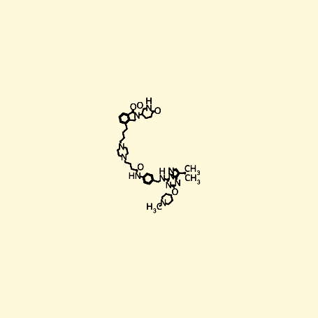 CC(C)c1cnn2c(NCc3ccc(NC(=O)CCCN4CCN(CCCCc5cccc6c5CN(C5CCC(=O)NC5=O)C6=O)CC4)cc3)nc(OC3CCN(C)CC3)nc12